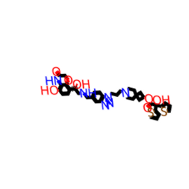 O=C1COc2c([C@@H](O)CNCc3ccc4c(c3)nnn4CCCN3CCC4(CC3)CC(OC(=O)C(O)(c3cccs3)c3cccs3)C4)ccc(O)c2N1